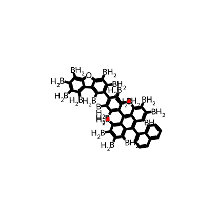 Bc1c(B)c(-c2c3c(B)c(B)c(B)c(B)c3c(-c3cccc4ccccc34)c3c(B)c(B)c(B)c(B)c23)c(B)c(B)c1-c1c(B)c(B)c2oc3c(B)c(B)c(B)c(B)c3c2c1B